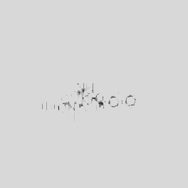 CC(C)(C)OC(=O)NCC(=O)N1C[C@H](OC(=O)c2ccc(-c3ccccc3)cc2)C[C@H]1C(N)=O